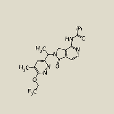 Cc1cc(C(C)N2Cc3c(ccnc3NC(=O)C(C)C)C2=O)nnc1OCC(F)(F)F